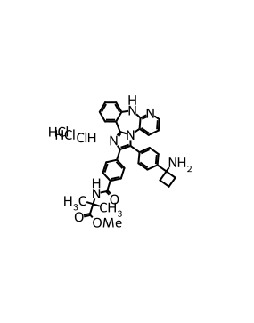 COC(=O)C(C)(C)NC(=O)c1ccc(-c2nc3n(c2-c2ccc(C4(N)CCC4)cc2)-c2cccnc2Nc2ccccc2-3)cc1.Cl.Cl.Cl